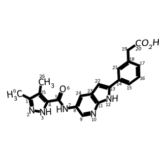 Cc1n[nH]c(C(=O)Nc2cnc3[nH]c(-c4cccc(CC(=O)O)c4)cc3c2)c1C